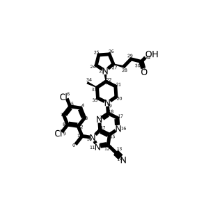 CC(c1ccc(Cl)cc1Cl)n1nc(C#N)c2ncc(N3CC[C@H](N4CCC[C@H]4CCC(=O)O)[C@H](C)C3)nc21